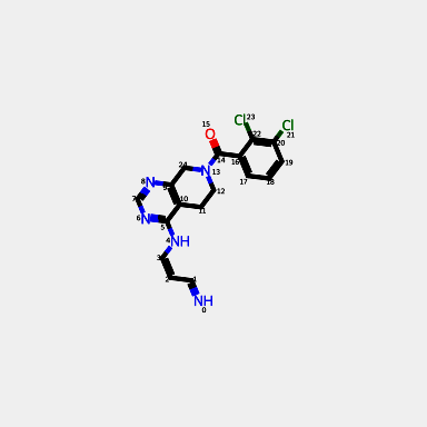 N=C/C=C\Nc1ncnc2c1CCN(C(=O)c1cccc(Cl)c1Cl)C2